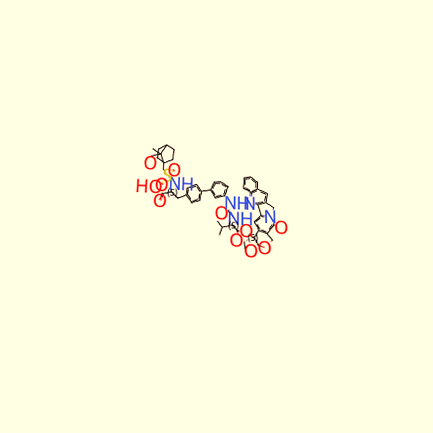 CC[C@@]1(OC(=O)[C@@H](NC(=O)Nc2cccc(-c3ccc(C[C@H](NS(=O)(=O)CC45CCC(CC4=O)C5(C)C)C(=O)O)cc3)c2)C(C)C)C(=O)OCc2c1cc1n(c2=O)Cc2cc3ccccc3nc2-1